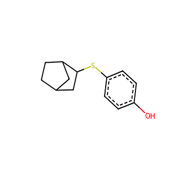 Oc1ccc(SC2CC3CCC2C3)cc1